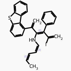 C=C(I)/C(=C(\N/C=C\C=C/C)C(=C)c1cccc2sc3ccccc3c12)c1ccccc1